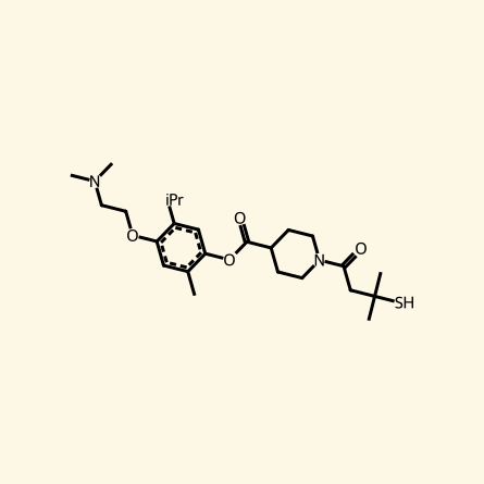 Cc1cc(OCCN(C)C)c(C(C)C)cc1OC(=O)C1CCN(C(=O)CC(C)(C)S)CC1